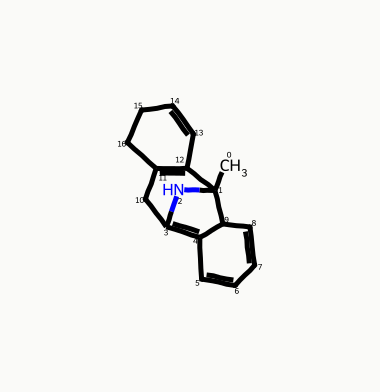 CC12NC(=C3C=CC=CC31)CC1=C2C=CCC1